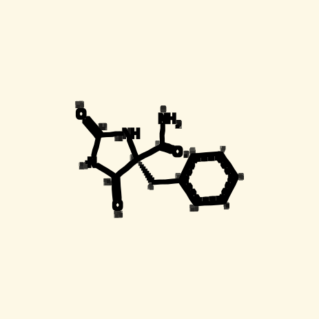 NC(=O)[C@]1(Cc2ccccc2)NC(=O)[N]C1=O